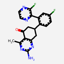 Cc1nc(N)nc2c1C(=O)CC(c1ccc(F)cc1-c1nccnc1F)C2